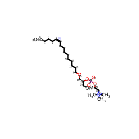 CCCCCCCCCCCCC/C=C\CCCCCCCCCOC[C@H](COC)OP(=O)([O-])OCC[N+](C)(C)C